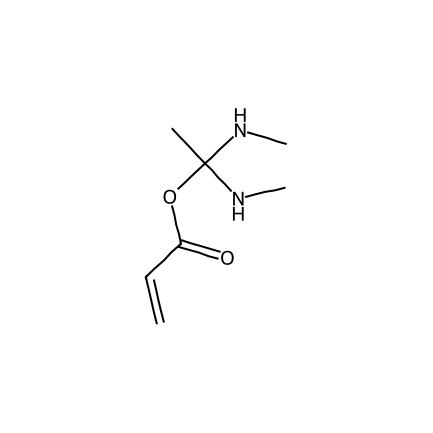 C=CC(=O)OC(C)(NC)NC